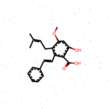 COc1cc(O)c(C(=O)O)c(C=Cc2ccccc2)c1CC=C(C)C